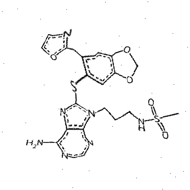 CS(=O)(=O)NCCCn1c(Sc2cc3c(cc2-c2ncco2)OCO3)nc2c(N)ncnc21